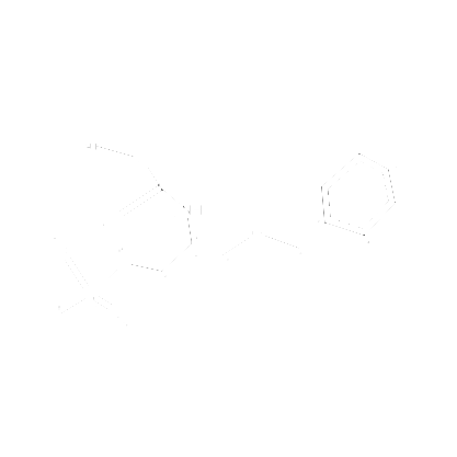 CC(C)(C)OC(=O)N[C@H](COCc1ccccc1)COS(C)(=O)=O